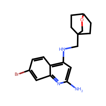 Nc1cc(NCC23CCC(CC2)OC3)c2ccc(Br)cc2n1